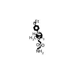 CCOc1ccc(N2CC3CN(CCS(=O)(=O)CCN)C[C@@H]2C(C)(C)C3)cc1